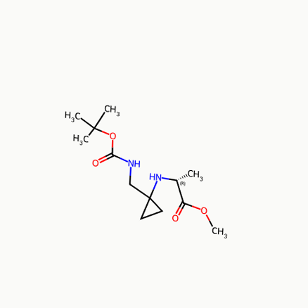 COC(=O)[C@@H](C)NC1(CNC(=O)OC(C)(C)C)CC1